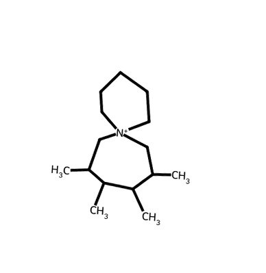 CC1C[N+]2(CCCCC2)CC(C)C(C)C1C